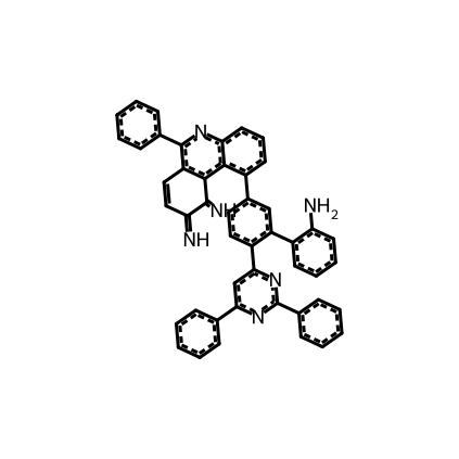 N=C1C=Cc2c(-c3ccccc3)nc3cccc(-c4ccc(-c5cc(-c6ccccc6)nc(-c6ccccc6)n5)c(-c5ccccc5N)c4)c3c2C1=N